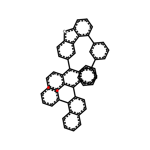 c1ccc(-c2cccc(-c3cccc4oc5ccc(-c6c7ccccc7c(-c7ccc8ccccc8c7-c7ccccc7)c7ccccc67)cc5c34)c2)cc1